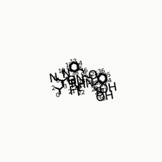 CC(C)C=C(C#N)C(=O)N(C)c1cccc(C[C@H](NCC(F)(F)F)C(=O)N[C@H](CB(O)O)c2ccccc2)c1